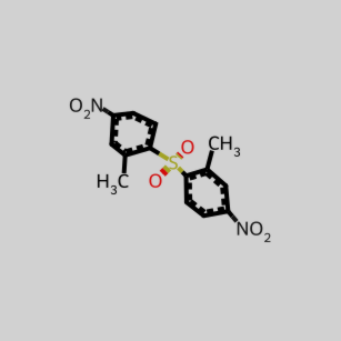 Cc1cc([N+](=O)[O-])ccc1S(=O)(=O)c1ccc([N+](=O)[O-])cc1C